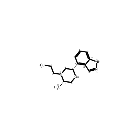 CCCN1C[C@H](c2cccc3[nH]ncc23)OC[C@@H]1C